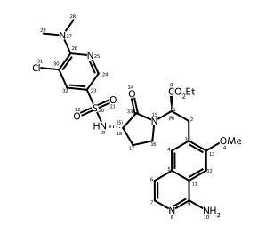 CCOC(=O)[C@@H](Cc1cc2ccnc(N)c2cc1OC)N1CC[C@H](NS(=O)(=O)c2cnc(N(C)C)c(Cl)c2)C1=O